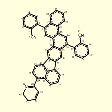 N#Cc1ccccc1-c1cc2c3cc4c(cc3c(-c3ccccc3C#N)cc2c2ccccc12)-c1cccc2c(C3=NCCC=C3)ccc-4c12